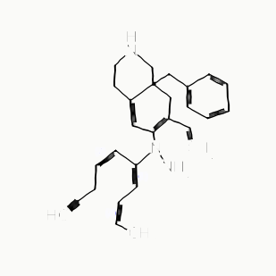 C#CC\C=C/C(=C\C=C/C)N(N)C1=C(C=C)CC2(Cc3ccccc3)CNCCC2=C1